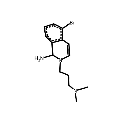 CN(C)CCCN1C=Cc2c(Br)cccc2C1N